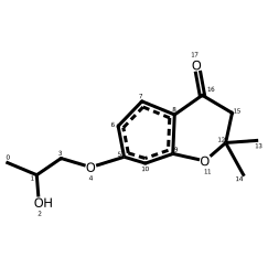 CC(O)COc1ccc2c(c1)OC(C)(C)CC2=O